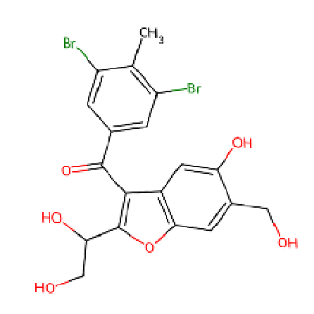 Cc1c(Br)cc(C(=O)c2c(C(O)CO)oc3cc(CO)c(O)cc23)cc1Br